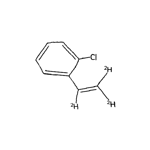 [2H]C([2H])=C([2H])c1ccccc1Cl